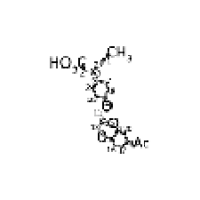 CC#C[C@@H](CC(=O)O)c1ccc(OC[C@H]2COc3ccc(C(C)=O)cc3O2)cc1